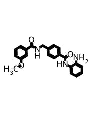 COc1cccc(C(=O)NCc2ccc(C(=O)Nc3ccccc3N)cc2)c1